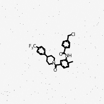 Cc1ccc(C(=O)N2CCC(c3ccc(C(F)(F)F)cc3)CC2)cc1NC(=O)c1ccc(CCl)cc1